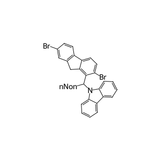 CCCCCCCCCC(c1c(Br)ccc2c1Cc1cc(Br)ccc1-2)n1c2ccccc2c2ccccc21